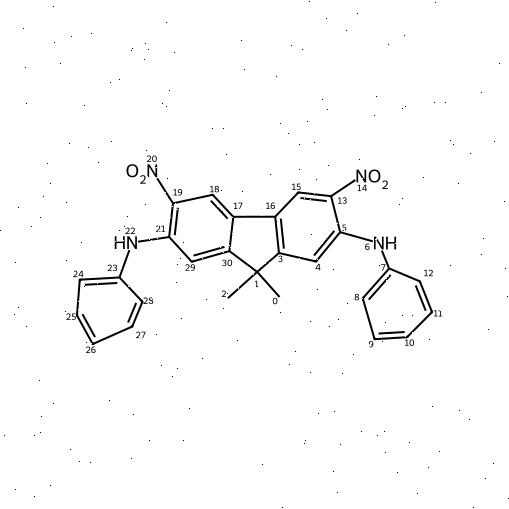 CC1(C)c2cc(Nc3ccccc3)c([N+](=O)[O-])cc2-c2cc([N+](=O)[O-])c(Nc3ccccc3)cc21